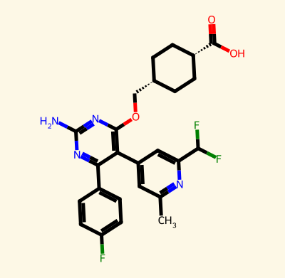 Cc1cc(-c2c(OC[C@H]3CC[C@@H](C(=O)O)CC3)nc(N)nc2-c2ccc(F)cc2)cc(C(F)F)n1